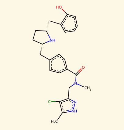 Cc1[nH]nc(CN(C)C(=O)c2ccc(C[C@@H]3CC[C@H](Cc4ccccc4O)N3)cc2)c1Cl